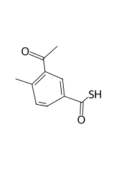 CC(=O)c1cc(C(=O)S)ccc1C